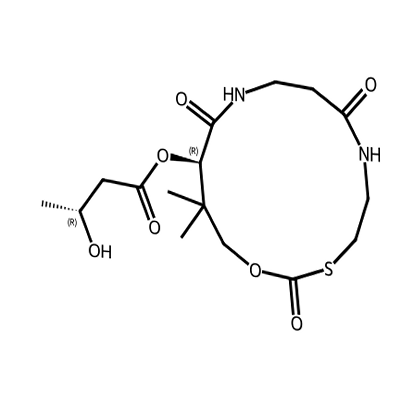 C[C@@H](O)CC(=O)O[C@H]1C(=O)NCCC(=O)NCCSC(=O)OCC1(C)C